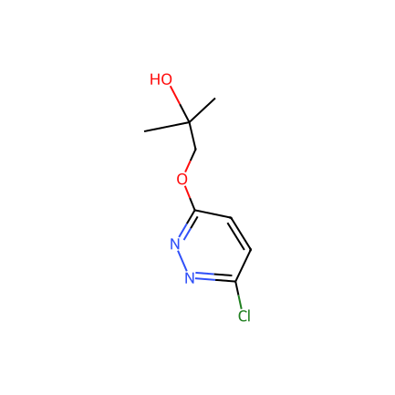 CC(C)(O)COc1ccc(Cl)nn1